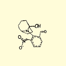 O=Cc1cccc([N+](=O)[O-])c1N1C2CCCC1(O)CC2